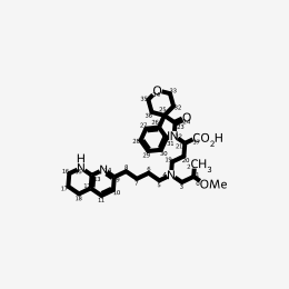 COC(C)CN(CCCCc1ccc2c(n1)NCCC2)CCC(NC(=O)C1(c2ccccc2)CCOCC1)C(=O)O